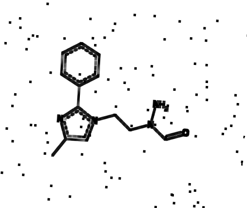 Cc1cn(CCN(N)C=O)c(-c2ccccc2)n1